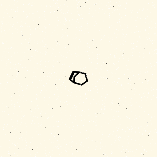 [CH]1CCC2C=CC1C2